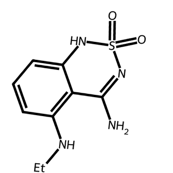 CCNc1cccc2c1C(N)=NS(=O)(=O)N2